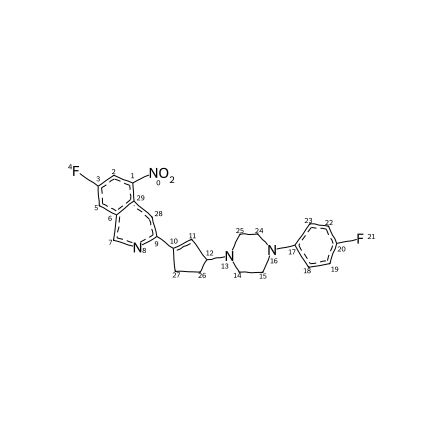 O=[N+]([O-])c1cc(F)cc2cnc(C3=CC(N4CCN(c5ccc(F)cc5)CC4)CC3)cc12